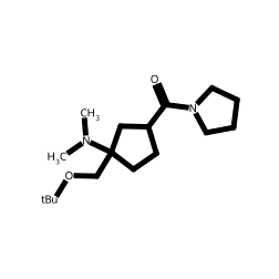 CN(C)C1(COC(C)(C)C)CCC(C(=O)N2CCCC2)C1